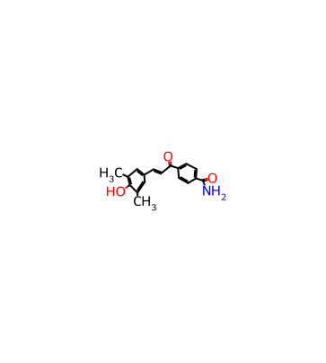 Cc1cc(C=CC(=O)c2ccc(C(N)=O)cc2)cc(C)c1O